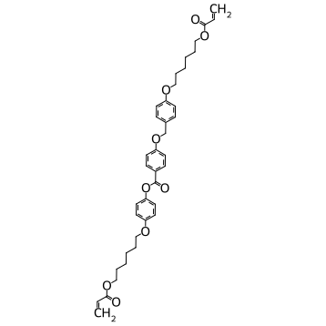 C=CC(=O)OCCCCCCOc1ccc(COc2ccc(C(=O)Oc3ccc(OCCCCCCOC(=O)C=C)cc3)cc2)cc1